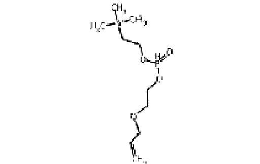 C=CCOCCO[PH](=O)OCC[N+](C)(C)C